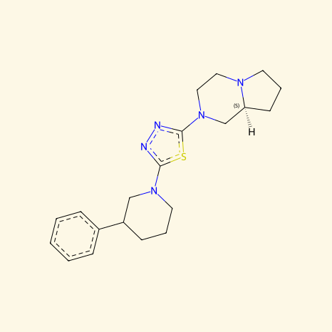 c1ccc(C2CCCN(c3nnc(N4CCN5CCC[C@H]5C4)s3)C2)cc1